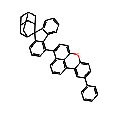 c1ccc(-c2ccc3c(c2)-c2cccc4c(-c5cccc6c5-c5ccccc5C65C6CC7CC(C6)CC5C7)ccc(c24)O3)cc1